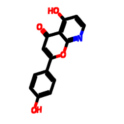 O=c1cc(-c2ccc(O)cc2)oc2nccc(O)c12